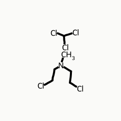 CN(CCCl)CCCl.ClC(Cl)Cl